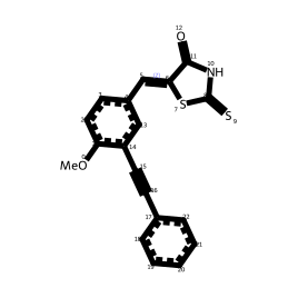 COc1ccc(/C=C2\SC(=S)NC2=O)cc1C#Cc1ccccc1